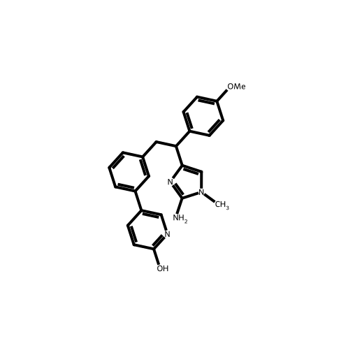 COc1ccc(C(Cc2cccc(-c3ccc(O)nc3)c2)c2cn(C)c(N)n2)cc1